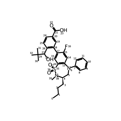 CCCC[C@@H]1CN(c2ccccc2)c2cc(F)c(-c3cc(C(=O)O)ccc3C(O)C(C)(C)C)cc2S(=O)(=O)N1C